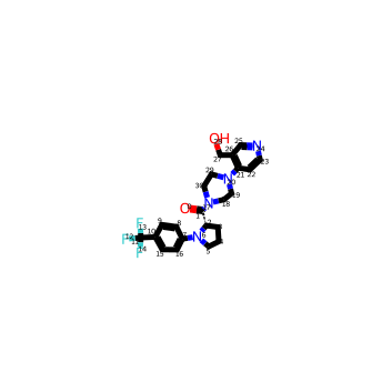 O=C([C@@H]1CCCN1c1ccc(C(F)(F)F)cc1)N1CCN(c2ccncc2CO)CC1